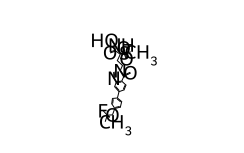 CC(F)Oc1ccc(-c2ccc3c(=O)n(CCC(C(=O)NO)S(C)(=O)=O)cnc3c2)cc1